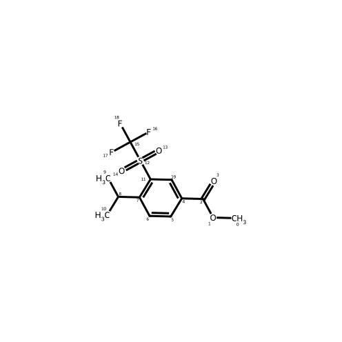 COC(=O)c1ccc(C(C)C)c(S(=O)(=O)C(F)(F)F)c1